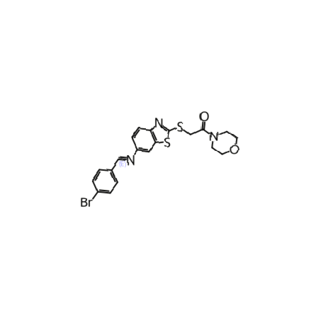 O=C(CSc1nc2ccc(/N=C/c3ccc(Br)cc3)cc2s1)N1CCOCC1